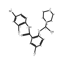 N#Cc1ccc(NC(=O)c2cc(Cl)ccc2OC(O)N2CCOCC2)c(Cl)c1